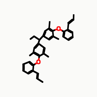 CC=Cc1ccccc1Oc1c(C)cc(C(CC)c2cc(C)c(Oc3ccccc3C=CC)c(C)c2)cc1C